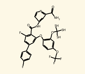 NC(=O)c1cc(NC(=O)c2c(F)cc(-c3ccc(F)cc3)cc2Oc2ccc(OC(F)(F)F)cc2OC(S)(S)S)ccn1